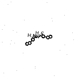 CC1CC(C2CCC3CCC=CC3C2)C=CC1CCN/C=C(\N)C1CC=C(C2CCC3C=CC=CC3C2)CC1